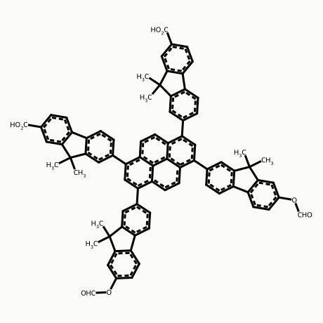 CC1(C)c2cc(OC=O)ccc2-c2ccc(-c3cc(-c4ccc5c(c4)C(C)(C)c4cc(C(=O)O)ccc4-5)c4ccc5c(-c6ccc7c(c6)C(C)(C)c6cc(C(=O)O)ccc6-7)cc(-c6ccc7c(c6)C(C)(C)c6cc(OC=O)ccc6-7)c6ccc3c4c65)cc21